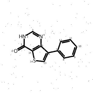 O=c1[nH]cnc2c(-c3ccccc3)csc12